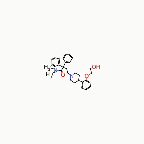 CN(C)C(=O)C(CCN1CCC(c2ccccc2OCCO)CC1)(c1ccccc1)c1ccccc1